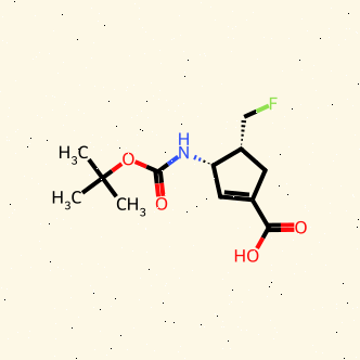 CC(C)(C)OC(=O)N[C@H]1C=C(C(=O)O)C[C@H]1CF